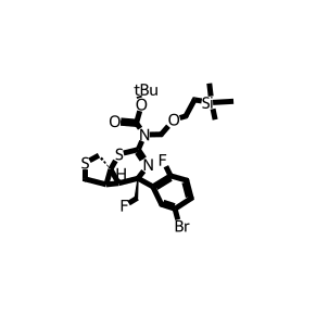 CC(C)(C)OC(=O)N(COCC[Si](C)(C)C)C1=N[C@](CF)(c2cc(Br)ccc2F)[C@H]2C3CSC[C@@]32S1